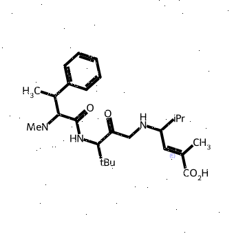 CNC(C(=O)NC(C(=O)CNC(/C=C(\C)C(=O)O)C(C)C)C(C)(C)C)C(C)c1ccccc1